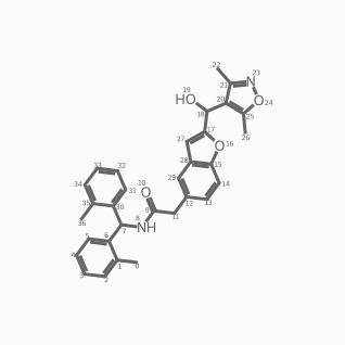 Cc1ccccc1C(NC(=O)Cc1ccc2oc(C(O)c3c(C)noc3C)cc2c1)c1ccccc1C